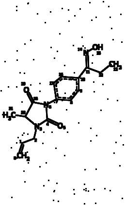 C=CCN1C(=O)N(c2ccc(C(CC)=NO)cc2)C(=O)C1C